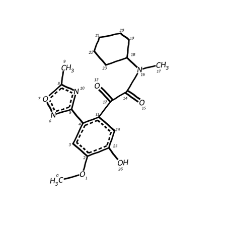 COc1cc(-c2noc(C)n2)c(C(=O)C(=O)N(C)C2CCCCC2)cc1O